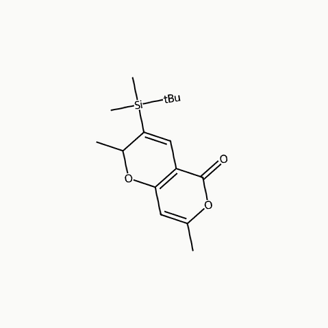 Cc1cc2c(c(=O)o1)C=C([Si](C)(C)C(C)(C)C)C(C)O2